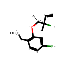 C=CC(C)(F)[C@@H](C)Oc1cc(F)ccc1CC(=O)OCC